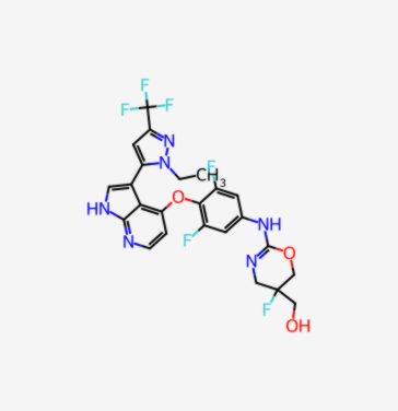 CCn1nc(C(F)(F)F)cc1-c1c[nH]c2nccc(Oc3c(F)cc(NC4=NCC(F)(CO)CO4)cc3F)c12